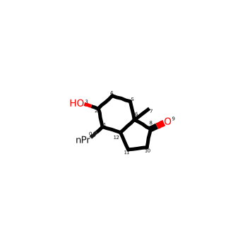 CCCC1C(O)CCC2(C)C(=O)CCC12